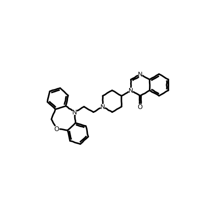 O=c1c2ccccc2ncn1C1CCN(CCN2c3ccccc3COc3ccccc32)CC1